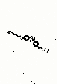 N#CCCCCCOc1ccc(OC(F)(F)c2ccc(/C=C/C(=O)O)cc2)cc1